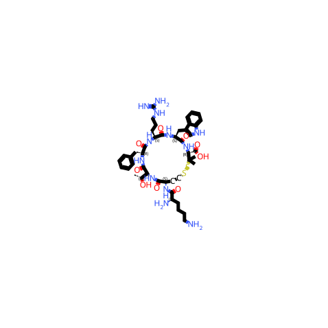 C[C@@H](O)[C@@H]1NC(=O)[C@@H](NC(=O)[C@@H](N)CCCCN)CCSSC(C)(C)[C@@H](C(=O)O)NC(=O)[C@H](Cc2c[nH]c3ccccc23)NC(=O)[C@H](CCCNC(=N)N)NC(=O)[C@@H](Cc2ccccc2)NC1=O